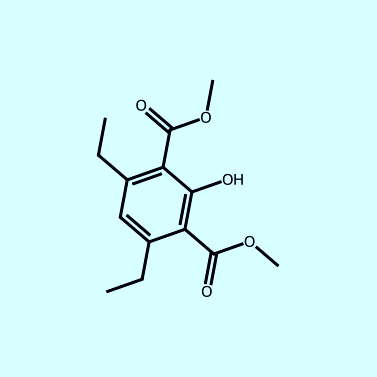 CCc1cc(CC)c(C(=O)OC)c(O)c1C(=O)OC